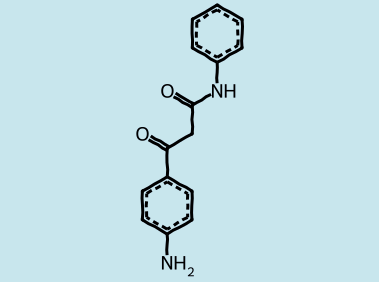 Nc1ccc(C(=O)CC(=O)Nc2ccccc2)cc1